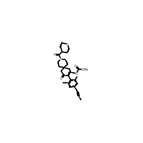 CC#Cc1cc(C)c(C2=C(OC(=O)OC)CC3(CCN(C(=O)C4CCOCC4)CC3)CC2=O)c(C)c1